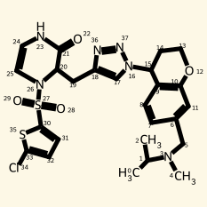 CC(C)N(C)Cc1ccc2c(c1)OCCC2n1cc(CC2C(=O)NC=CN2S(=O)(=O)c2ccc(Cl)s2)nn1